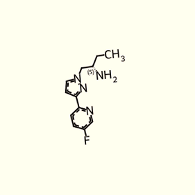 CC[C@H](N)Cn1ccc(-c2ccc(F)cn2)n1